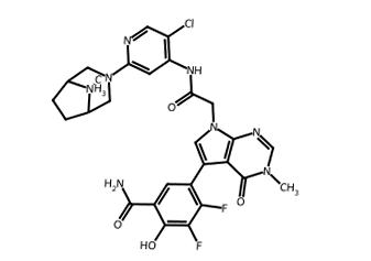 CN1C2CCC1CN(c1cc(NC(=O)Cn3cc(-c4cc(C(N)=O)c(O)c(F)c4F)c4c(=O)n(C)cnc43)c(Cl)cn1)C2